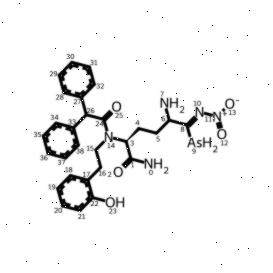 NC(=O)[C@H](CCC(N)C([AsH2])=N[N+](=O)[O-])N(CCc1ccccc1O)C(=O)C(c1ccccc1)c1ccccc1